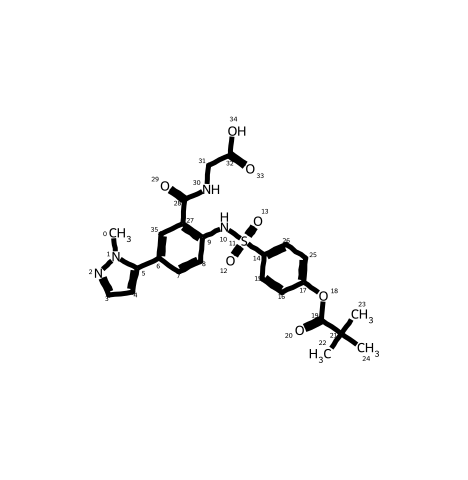 Cn1nccc1-c1ccc(NS(=O)(=O)c2ccc(OC(=O)C(C)(C)C)cc2)c(C(=O)NCC(=O)O)c1